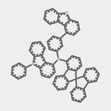 c1ccc(-n2c3ccccc3c3c(N(c4cccc(-c5cccc6oc7ccccc7c56)c4)c4cccc5c4-c4ccccc4C54c5ccccc5-c5ccccc54)cccc32)cc1